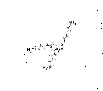 CCCCCCCCC(CC)CC(CCCCCCCC)CCCCCCCC